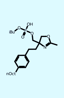 CCCCCCCCc1ccc(CCC2(COP(=O)(O)OC(C)CC)COC(C)=N2)cc1